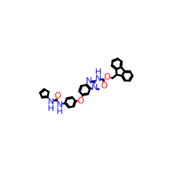 Cn1c(NC(=O)OCC2c3ccccc3-c3ccccc32)nc2ccc(Oc3ccc(NC(=O)NC4=CC=CC4)cc3)cc21